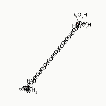 CCCCCCCCCCCC(CCCCCCCCCCC(=O)O)(C(=O)O)C(=O)NCCOCCOCCOCCOCCOCCOCCOCCOCCOCCOCCOCCOCCOCCOCCOCCOCCOCCOCCOCCOCCOCCOCCOCCOCCC(=O)NCCOCCOCCNC(=O)C(CCC(N)=O)NC(=O)OCc1ccccc1